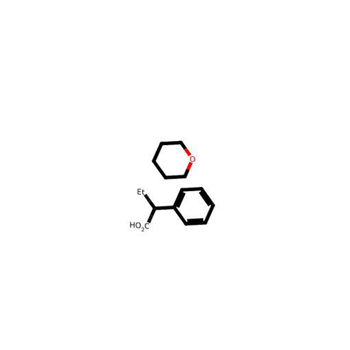 C1CCOCC1.CCC(C(=O)O)c1ccccc1